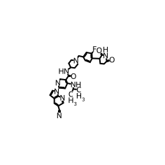 CC(C)Nc1cc(-n2ccc3cc(C#N)cnc32)ncc1C(=O)NC1CCN(Cc2ccc(C3CCC(=O)NC3=O)c(F)c2)CC1